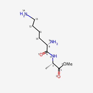 COC(=O)[C@H](C)NC(=O)[C@@H](N)CCCCN